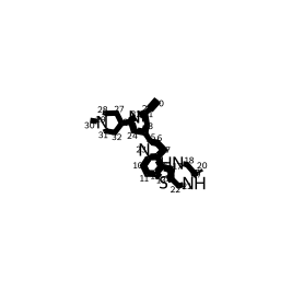 C#Cc1cc(-c2ccc3c(ccc4sc5c(c43)NC[C@@H](C)NC5)n2)cc(C2CCN(C)CC2)n1